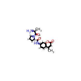 Cc1cc(=O)oc2cc(NC(=O)[C@@H]3CCCN3C(=O)[C@H](C)N)ccc12